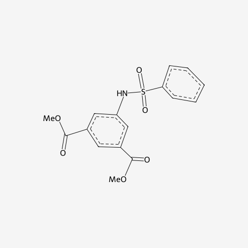 COC(=O)c1cc(NS(=O)(=O)c2ccccc2)cc(C(=O)OC)c1